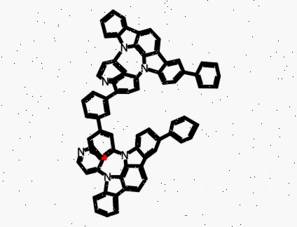 c1ccc(-c2ccc3c(c2)c2ccc4c5ccccc5n(-c5ccncc5)c4c2n3-c2ccc(-c3cccc(-c4cccc(-n5c6ccc(-c7ccccc7)cc6c6ccc7c8ccccc8n(-c8ccncc8)c7c65)c4)c3)cc2)cc1